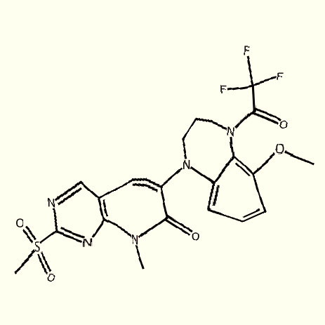 COc1cccc2c1N(C(=O)C(F)(F)F)CCN2c1cc2cnc(S(C)(=O)=O)nc2n(C)c1=O